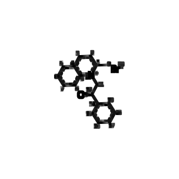 Cc1ccc2ccccc2[n+]1CC(=O)c1ccccc1.[Br-]